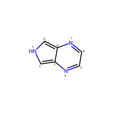 [c]1[nH]cc2nccnc12